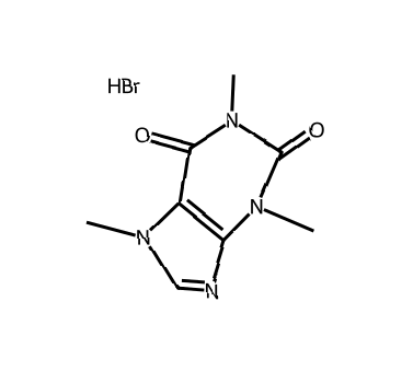 Br.Cn1c(=O)c2c(ncn2C)n(C)c1=O